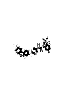 CN(C)S(=O)(=O)c1ccc(F)cc1NC(=O)Nc1cnc(Oc2ccc(-c3cc(C(F)(F)F)cnc3N)cc2)nc1